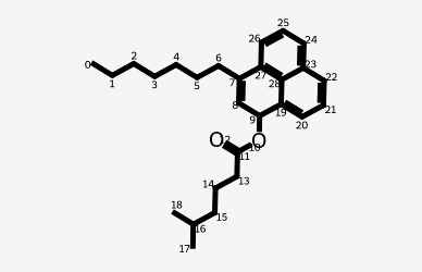 CCCCCCCC1=CC(OC(=O)CCCC(C)C)c2cccc3cccc1c23